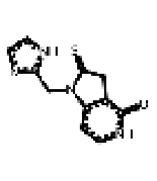 O=c1[nH]ccc2c1CC(=S)N2Cc1ncc[nH]1